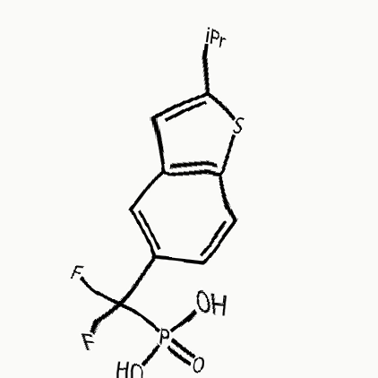 CC(C)c1cc2cc(C(F)(F)P(=O)(O)O)ccc2s1